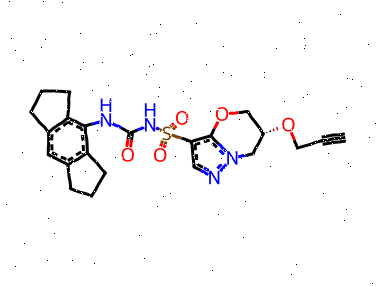 C#CCO[C@H]1COc2c(S(=O)(=O)NC(=O)Nc3c4c(cc5c3CCC5)CCC4)cnn2C1